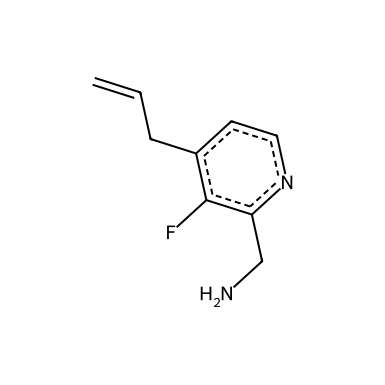 C=CCc1ccnc(CN)c1F